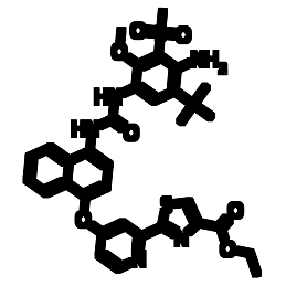 CCOC(=O)c1csc(-c2cc(Oc3ccc(NC(=O)Nc4cc(C(C)(C)C)c(N)c(S(C)(=O)=O)c4OC)c4ccccc34)ccn2)n1